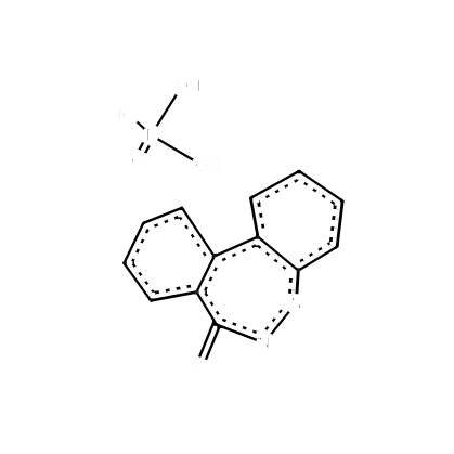 O=P(O)(O)O.O=c1nnc2ccccc2c2ccccc12